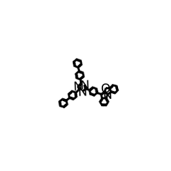 c1ccc(-c2ccc(-c3nc(-c4ccc(-c5ccccc5)cc4)nc(-c4ccc(-c5c6ccccc6n6c5oc5ccccc56)cc4)n3)cc2)cc1